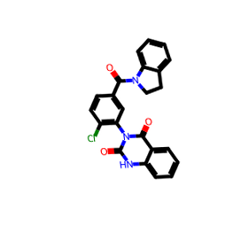 O=C(c1ccc(Cl)c(-n2c(=O)[nH]c3ccccc3c2=O)c1)N1CCc2ccccc21